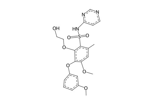 COc1cccc(Oc2c(OC)cc(C)c(S(=O)(=O)Nc3ccncn3)c2OCCO)c1